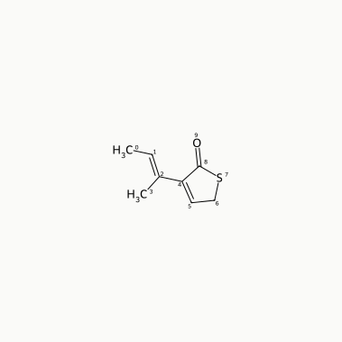 C/C=C(\C)C1=CCSC1=O